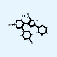 CCN1CCC(c2cc(C3CCCCC3)sc2C(=O)O)=C(C2CCC(C)CC2)C1